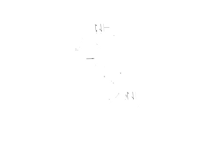 C=CNC(=C)CCC1(C)Cc2c(N)cccc2C1=C